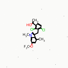 C=C(O)c1ccc(Cl)c(Cc2cn(C)c3cc(OC(F)(F)F)cc(C)c23)c1Cl